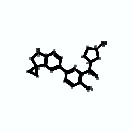 Nc1ccc(-c2cnc3c(c2)C2(CC2)CN3)nc1C(=O)N1CC[C@H](O)C1